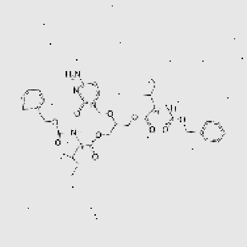 CCC(C)[C@H](NC(=O)OCc1ccccc1)C(=O)OCC(COC(=O)[C@@H](NC(=O)OCc1ccccc1)C(C)CC)OCn1ccc(N)nc1=O